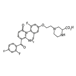 Nc1c(C(=O)c2ccc(F)cc2F)ccc(=O)n1-c1c(F)cc(OCCN2CCNC(C(=O)O)C2)cc1F